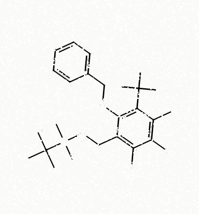 Cc1c(F)c(F)c(CO[Si](C)(C)C(C)(C)C)c(OCc2ccccc2)c1C(F)(F)F